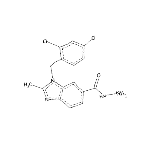 Cc1nc2ccc(C(=O)NN)cc2n1Cc1ccc(Cl)cc1Cl